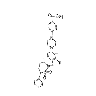 CC1C(F)=C(CN2[C@@H](C)CC[C@H](c3ccccc3)S2(=O)=O)C=CC1N1CCN(c2ccc(C(=O)O)cc2)CC1